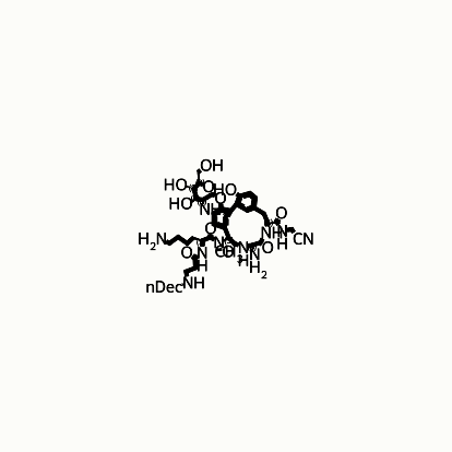 CCCCCCCCCCNCCC(=O)N[C@@H](CCCCN)C(=O)N(C)[C@@H]1C(=O)N[C@@H](N)C(=O)N[C@H](C(=O)NCC#N)Cc2ccc(O)c(c2)-c2cc1ccc2OC1O[C@H](CO)[C@@H](O)[C@H](O)[C@H]1N